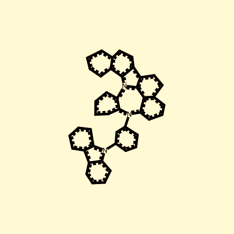 c1cc(-n2c3ccccc3c3ccccc32)cc(-n2c3cccc4ccc5c6ccc7ccccc7c6n(c6ccccc62)c5c43)c1